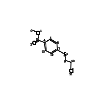 COC(=O)c1ccc(SCCCl)cc1